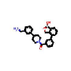 NCc1cccc(C2CCN(C(=O)c3cccc(-c4cccc5c4COB5O)c3)CC2)c1